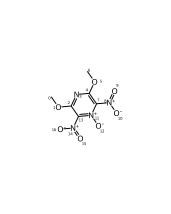 COc1nc(OC)c([N+](=O)[O-])[n+]([O-])c1[N+](=O)[O-]